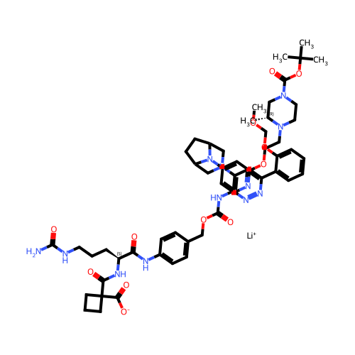 COCOc1ccccc1-c1cc(N2CC3CCC(C2)N3c2ccnc(OCCN3CCN(C(=O)OC(C)(C)C)C[C@H]3C)c2)c(NC(=O)OCc2ccc(NC(=O)[C@H](CCCNC(N)=O)NC(=O)C3(C(=O)[O-])CCC3)cc2)nn1.[Li+]